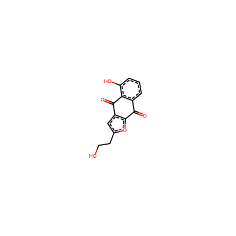 O=C1c2cccc(O)c2C(=O)c2cc(CCO)oc21